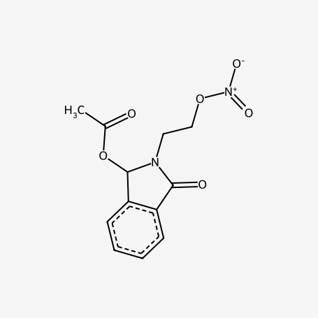 CC(=O)OC1c2ccccc2C(=O)N1CCO[N+](=O)[O-]